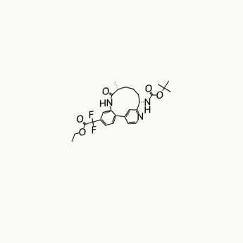 CCOC(=O)C(F)(F)c1ccc2c(c1)NC(=O)[C@H](C)CCC[C@H](NC(=O)OC(C)(C)C)c1cc-2ccn1